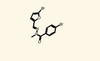 CN(N=Cc1ccc(Br)o1)C(=O)c1ccc(Br)cc1